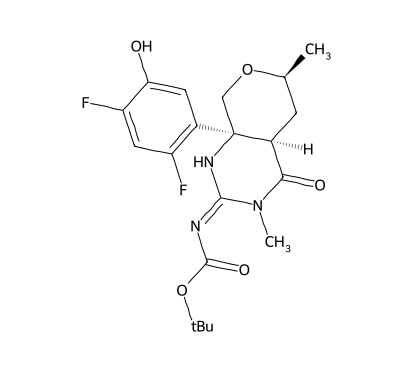 C[C@H]1C[C@H]2C(=O)N(C)/C(=N\C(=O)OC(C)(C)C)N[C@@]2(c2cc(O)c(F)cc2F)CO1